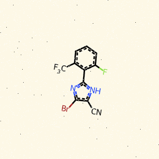 N#Cc1[nH]c(-c2c(F)cccc2C(F)(F)F)nc1Br